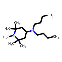 CCCCN(CCCC)C1CC(C)(C)N(C)C(C)(C)C1